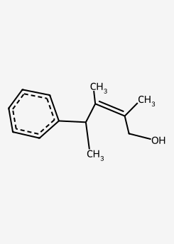 C/C(CO)=C(\C)C(C)c1ccccc1